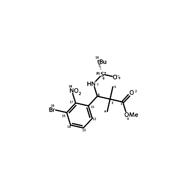 COC(=O)C(C)(C)C(N[S@@+]([O-])C(C)(C)C)c1cccc(Br)c1[N+](=O)[O-]